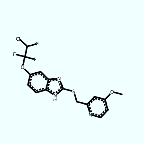 COc1ccnc(CSc2nc3cc(OC(F)(F)C(F)Cl)ccc3[nH]2)c1